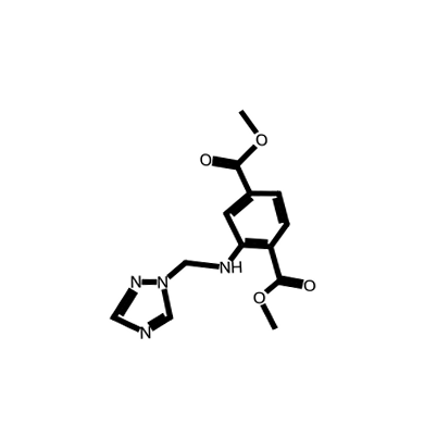 COC(=O)c1ccc(C(=O)OC)c(NCn2cncn2)c1